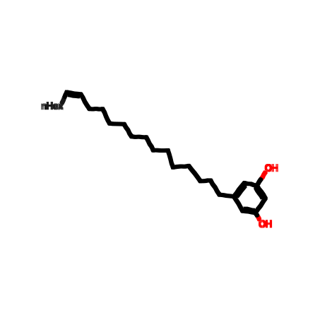 CCCCCC/C=C\CCCCCCCCCCCCCc1cc(O)cc(O)c1